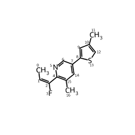 C/C=C(/F)c1ncc(-c2cc(C)cs2)cc1C